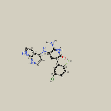 CN(C)c1[nH]c(=O)c(-c2cc(Cl)ccc2F)cc1Nc1ccnc2[nH]ccc12